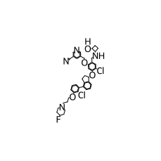 N#Cc1cncc(COc2cc(O[C@H]3CCc4c(-c5cccc(OCCCN6CCC(F)CC6)c5Cl)cccc43)c(Cl)cc2CN[C@@H]2CC[C@H]2O)c1